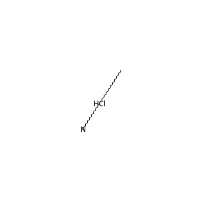 CCCCCCCCCCCCCCCCCCCCCCCCCCCCCCCCCCC=CCN(C)C.Cl